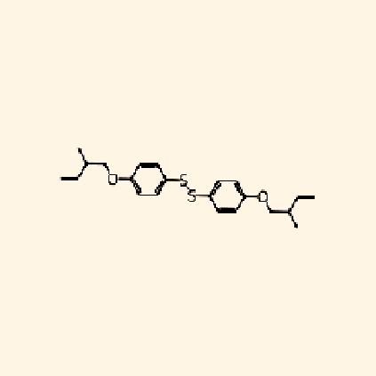 CCC(C)COc1ccc(SSc2ccc(OCC(C)CC)cc2)cc1